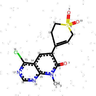 Cn1c(=O)c(C2=CCS(=O)(=O)CC2)cc2c(Cl)ncnc21